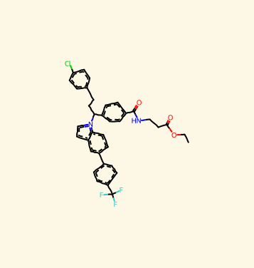 CCOC(=O)CCNC(=O)c1ccc(C(CCc2ccc(Cl)cc2)n2ccc3cc(-c4ccc(C(F)(F)F)cc4)ccc32)cc1